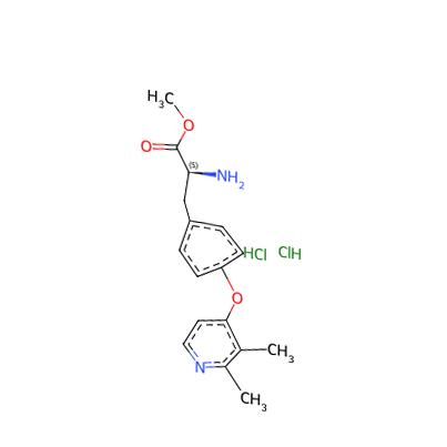 COC(=O)[C@@H](N)Cc1ccc(Oc2ccnc(C)c2C)cc1.Cl.Cl